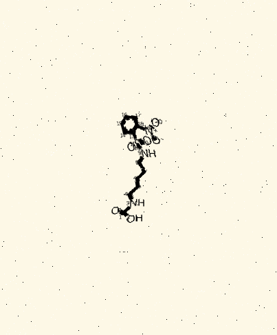 O=C(O)NCCCCCNS(=O)(=O)c1ccccc1[N+](=O)[O-]